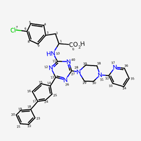 O=C(O)C(Cc1ccc(Cl)cc1)Nc1nc(-c2ccc(-c3ccccc3)cc2)nc(N2CCN(c3ccccn3)CC2)n1